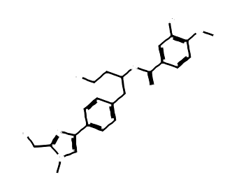 CC(C)Oc1ccc(C(=O)NC(CCO)Cc2ccc(-c3cn(C)c(CC(C)(C)C)n3)cc2)cc1C#N